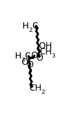 C=CCCCC=CCOC(=O)C(C)=COC(=O)C(C)=CC(O)CCCCCC=C